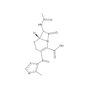 C=C(C1=C(C(=O)O)N2C(=O)C(NC(C)=O)[C@H]2SC1)c1scnc1C